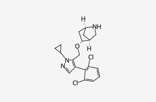 Clc1cccc(Cl)c1-c1cnn(C2CC2)c1CO[C@@H]1C[C@@H]2C[C@H]1CN2